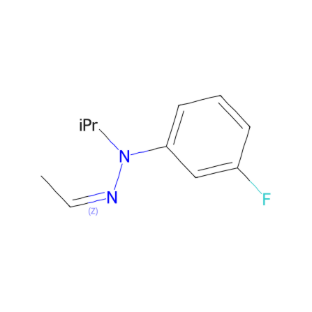 C/C=N\N(c1cccc(F)c1)C(C)C